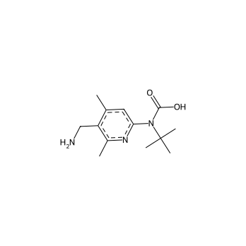 Cc1cc(N(C(=O)O)C(C)(C)C)nc(C)c1CN